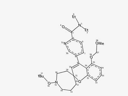 CCN(CC)C(=O)c1ccc(C2=CC3(CCCN(OC(C)(C)C)CC3)Oc3cccc(OCOC)c32)cn1